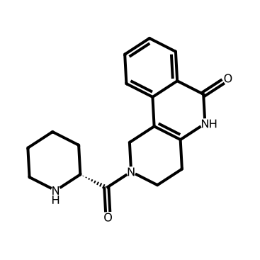 O=C([C@H]1CCCCN1)N1CCc2[nH]c(=O)c3ccccc3c2C1